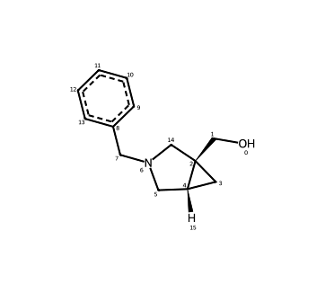 OC[C@@]12C[C@@H]1CN(Cc1ccccc1)C2